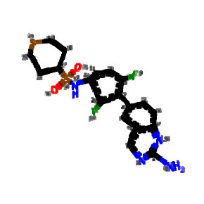 Nc1ncc2cc(-c3c(F)ccc(NS(=O)(=O)C4CCSCC4)c3F)ccc2n1